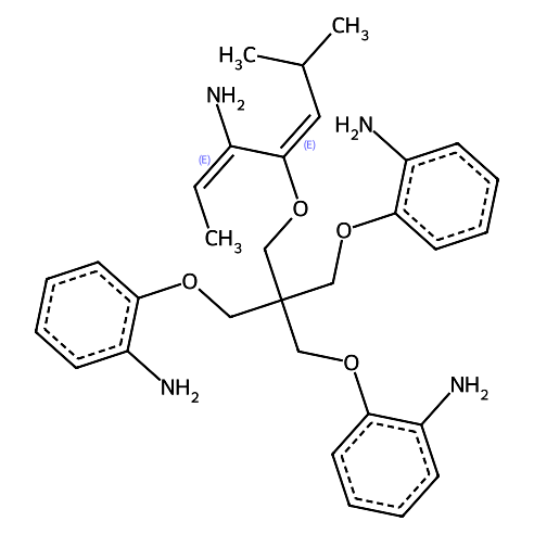 C/C=C(N)\C(=C/C(C)C)OCC(COc1ccccc1N)(COc1ccccc1N)COc1ccccc1N